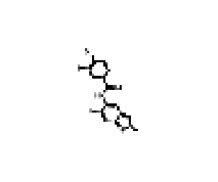 Cn1cc2cc(NC(=N)c3ccc(Br)c(I)c3)c(F)cc2n1